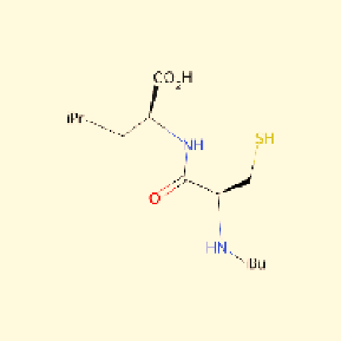 CCC(C)N[C@H](CS)C(=O)N[C@@H](CC(C)C)C(=O)O